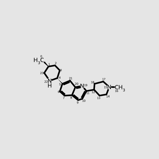 C[C@H]1CC[C@H](c2ccc3ccc(C4CCN(C)CC4)nc3c2)NC1